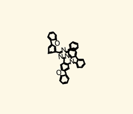 c1ccc(-c2nc(-c3cc4oc5ccccc5c4cc3-n3c4ccccc4c4ccccc43)nc(-c3cccc4c3oc3ccccc34)n2)cc1